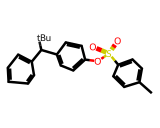 Cc1ccc(S(=O)(=O)Oc2ccc(C(c3ccccc3)C(C)(C)C)cc2)cc1